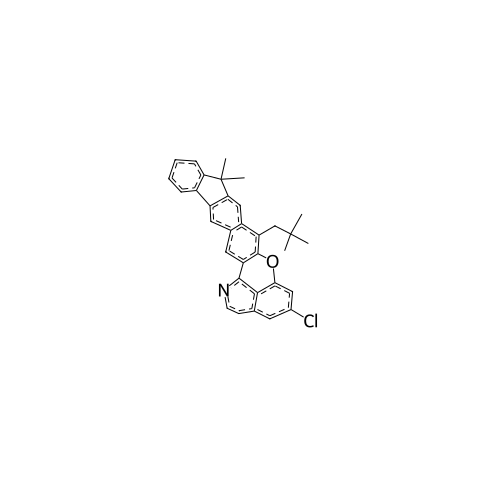 CC(C)(C)Cc1c2c(cc3cc4c(cc13)C(C)(C)c1ccccc1-4)-c1nccc3cc(Cl)cc(c13)O2